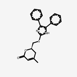 CC1=CC(=O)O[C@@H](CSc2nc(-c3ccccc3)c(-c3ccccc3)[nH]2)C1